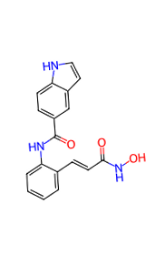 O=C(C=Cc1ccccc1NC(=O)c1ccc2[nH]ccc2c1)NO